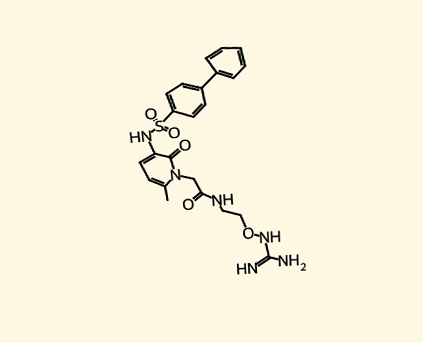 Cc1ccc(NS(=O)(=O)c2ccc(-c3ccccc3)cc2)c(=O)n1CC(=O)NCCONC(=N)N